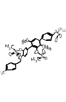 COc1cc(-c2ccc(OS(C)(=O)=O)cc2)c(OC)c(OS(C)(=O)=O)c1-c1ccc(OCc2ccc(C(F)(F)F)cc2)c(OS(C)(=O)=O)c1